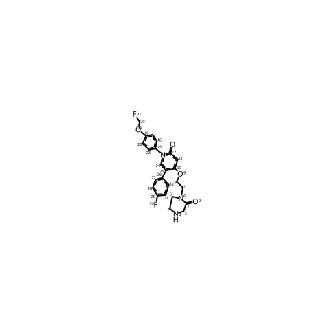 O=C1CNCCN1CCOc1cc(=O)n(-c2ccc(OCF)cc2)cc1-c1ccc(F)cc1